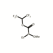 CCN(OC)C(=O)OC(C(F)(F)F)C(F)(F)F